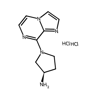 Cl.Cl.N[C@@H]1CCN(c2nccn3ccnc23)C1